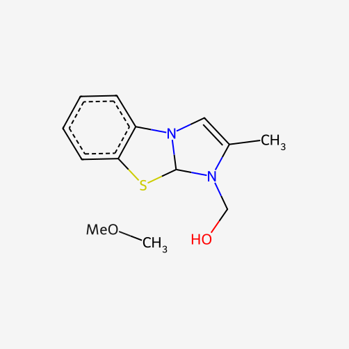 CC1=CN2c3ccccc3SC2N1CO.COC